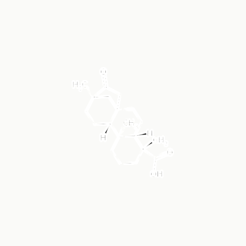 C[C@]12CC[C@@H]3[C@](CC[C@H]4[C@@]3(C)CCC[C@@]4(C)C(=O)O)(CC1=O)C2